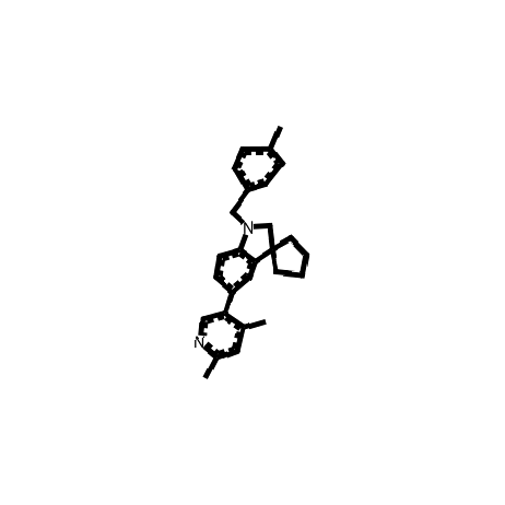 Cc1ccc(CN2CC3(CCCC3)c3cc(-c4cnc(C)cc4C)ccc32)cc1